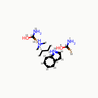 CCCC.CNC.NC(O)=S.NC(O)=S.c1ccc2[nH]ccc2c1